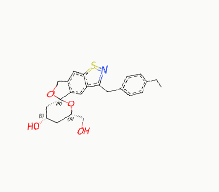 CCc1ccc(Cc2nsc3cc4c(cc23)[C@]2(C[C@@H](O)C[C@@H](CO)O2)OC4)cc1